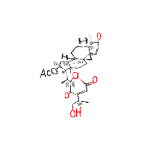 CC(=O)O[C@H]1C[C@@]2(C)[C@@H]3CC[C@H]4[C@H](C)C(=O)C=C[C@@]45C[C@@]35CC[C@]2(C)[C@H]1[C@H](C)[C@H]1OC(=O)C=C([C@@H](C)CO)C1=O